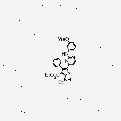 CCNc1sc(-c2ccnc(Nc3cccc(OC)c3)n2)c(-c2ccccc2)c1C(=O)OCC